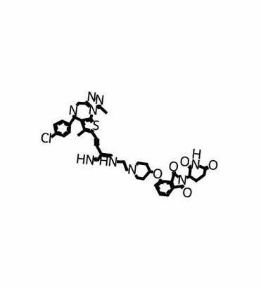 Cc1c(C#C/C(C=N)=C/NCCN2CCC(Oc3cccc4c3C(=O)N(C3CCC(=O)NC3=O)C4=O)CC2)sc2c1C(c1ccc(Cl)cc1)=NCc1nnc(C)n1-2